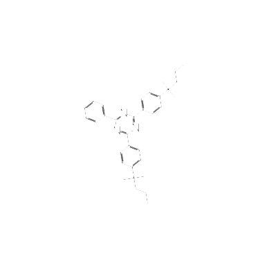 CCCC(C)(C)c1ccc(-c2nc(-c3ccccc3)nc(-c3ccc(C(C)(C)CCC)cc3)n2)cc1